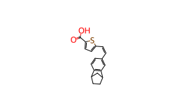 O=C(O)c1ccc(/C=C\c2ccc3c(c2)C2CCC3C2)s1